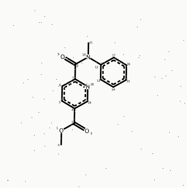 COC(=O)c1ccc(C(=O)N(C)c2ccccc2)nc1